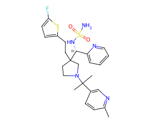 Cc1ccc(C(C)(C)N2CCC(CCc3ccc(F)s3)([C@H](NS(N)(=O)=O)c3ccccn3)C2)cn1